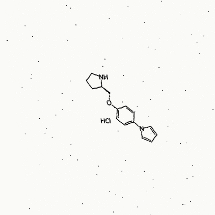 Cl.c1ccn(-c2ccc(OC[C@H]3CCCN3)cc2)c1